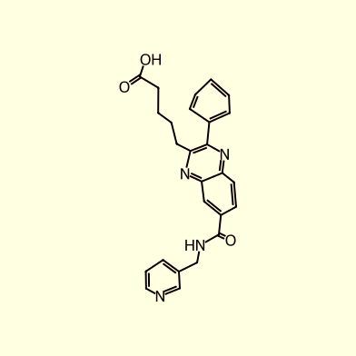 O=C(O)CCCCc1nc2cc(C(=O)NCc3cccnc3)ccc2nc1-c1ccccc1